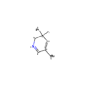 CC(C)C1(C)C=C(C(C)(C)C)C=NC1